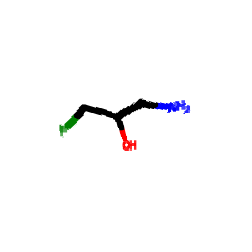 NCC(O)CF